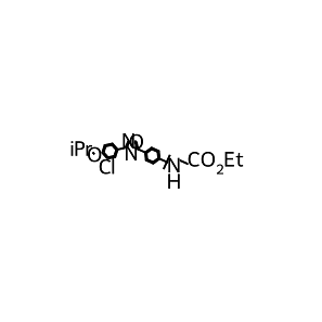 CCOC(=O)CCNC(C)(C)c1ccc(-c2nc(-c3ccc(OC(C)C)c(Cl)c3)no2)cc1